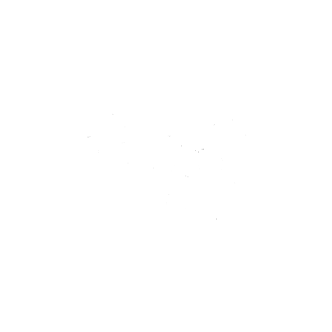 CCn1c(C(O)(c2ccccc2)c2ccccc2)nc2ccc(Oc3ccccc3)cc21